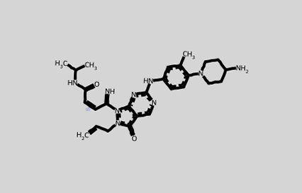 C=CCn1c(=O)c2cnc(Nc3ccc(N4CCC(N)CC4)c(C)c3)nc2n1C(=N)/C=C\C(=O)NC(C)C